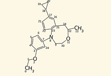 CCOc1cccc(N2CCOC(C)Cc3cc(C4CC4)ccc32)c1